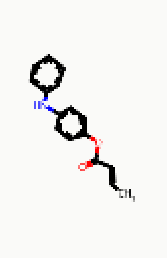 CC=CC(=O)Oc1ccc(Nc2ccccc2)cc1